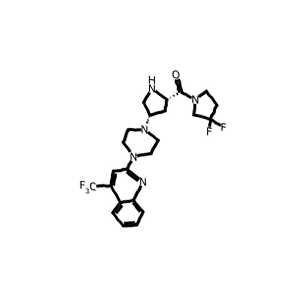 O=C([C@@H]1C[C@H](N2CCN(c3cc(C(F)(F)F)c4ccccc4n3)CC2)CN1)N1CCC(F)(F)C1